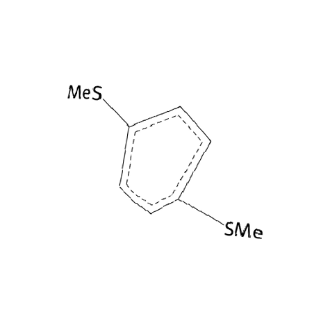 C[SH2]c1ccc([SH2]C)cc1